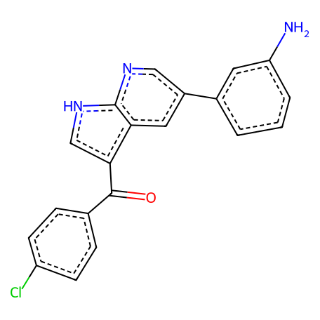 Nc1cccc(-c2cnc3[nH]cc(C(=O)c4ccc(Cl)cc4)c3c2)c1